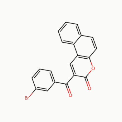 O=C(c1cccc(Br)c1)c1cc2c(ccc3ccccc32)oc1=O